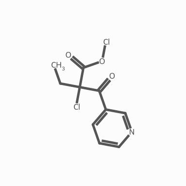 CCC(Cl)(C(=O)OCl)C(=O)c1cccnc1